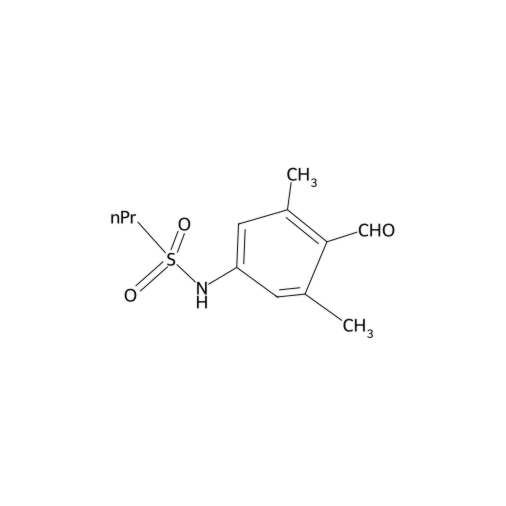 CCCS(=O)(=O)Nc1cc(C)c(C=O)c(C)c1